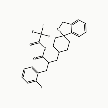 O=C(OC(=O)C(F)(F)F)C(Cc1ccccc1F)CN1CCC2(CC1)OCc1ccccc12